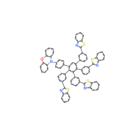 c1cc(-c2nc3ccccc3s2)cc(-c2cc(-c3ccc(N4c5ccccc5Oc5ccccc54)cc3)c(-c3cccc(-c4nc5ccccc5s4)c3)c(-c3cccc(-c4nc5ccccc5s4)c3)c2-c2cccc(-c3nc4ccccc4s3)c2)c1